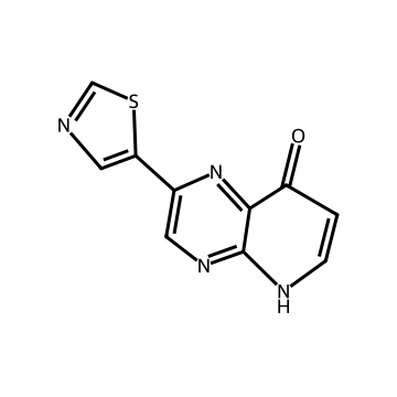 O=c1cc[nH]c2ncc(-c3cncs3)nc12